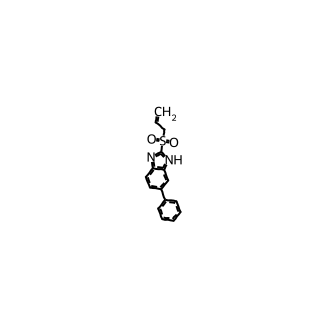 C=CCS(=O)(=O)c1nc2ccc(-c3ccccc3)cc2[nH]1